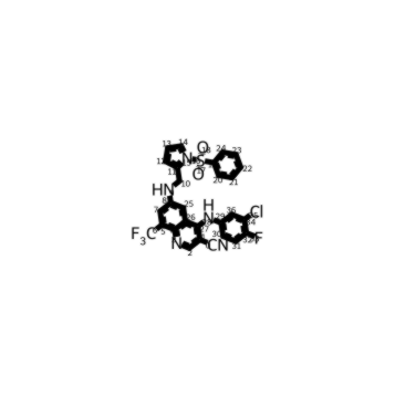 N#Cc1cnc2c(C(F)(F)F)cc(NCc3cccn3S(=O)(=O)c3ccccc3)cc2c1Nc1ccc(F)c(Cl)c1